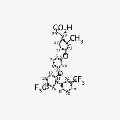 Cc1cc(Oc2cccc(Oc3ccc(C(F)(F)F)cc3-c3cccc(C(F)(F)F)c3)c2)ccc1CCC(=O)O